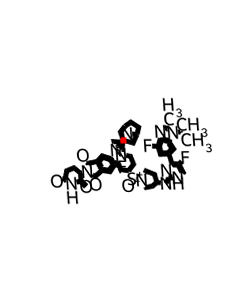 Cc1nc2c(F)cc(-c3nc(NC4CCN([S+]([O-])C5CCN(CC6CC7CCC(C6)N7C6CN(c7cc8c(cc7F)C(=O)N(C7CCC(=O)NC7=O)C8=O)C6)CC5)CC4)ncc3F)cc2n1C(C)C